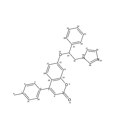 Cc1ccc(-c2cc(=O)oc3cc(OC(Cn4ccnc4)c4ccccc4)ccc23)cc1